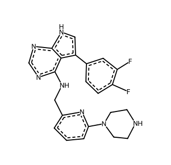 Fc1ccc(-c2c[nH]c3ncnc(NCc4cccc(N5CCNCC5)n4)c23)cc1F